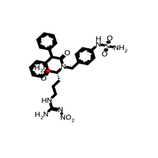 NC(=O)[C@@H](CCCNC(N)=N[N+](=O)[O-])N(Cc1ccc(NS(N)(=O)=O)cc1)C(=O)C(c1ccccc1)c1ccccc1